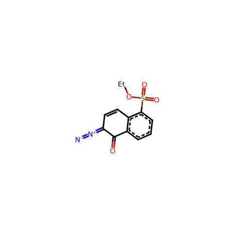 CCOS(=O)(=O)c1cccc2c1C=CC(=[N+]=[N-])C2=O